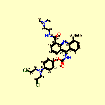 COc1cccc2c(NC(=O)Oc3ccc(N(CCCl)CCCl)cc3)c3cccc(C(=O)NCCN(C)C)c3nc12